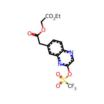 CCOC(=O)COC(=O)Cc1ccc2ncc(OS(=O)(=O)C(F)(F)F)nc2c1